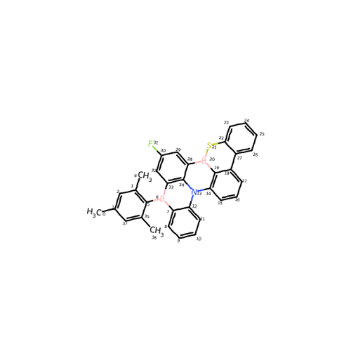 Cc1cc(C)c(B2c3ccccc3N3c4cccc5c4B(Sc4ccccc4-5)c4cc(F)cc2c43)c(C)c1